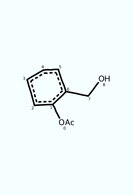 CC(=O)Oc1ccccc1CO